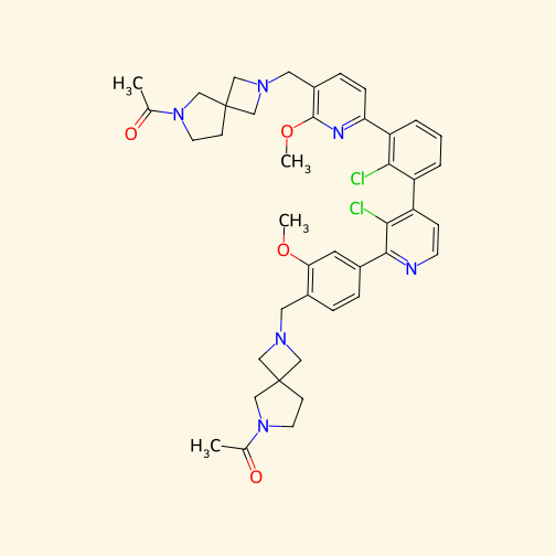 COc1cc(-c2nccc(-c3cccc(-c4ccc(CN5CC6(CCN(C(C)=O)C6)C5)c(OC)n4)c3Cl)c2Cl)ccc1CN1CC2(CCN(C(C)=O)C2)C1